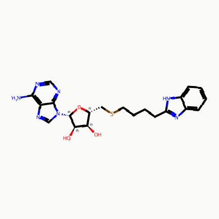 Nc1ncnc2c1ncn2[C@@H]1O[C@H](CSCCCCc2nc3ccccc3[nH]2)[C@@H](O)[C@H]1O